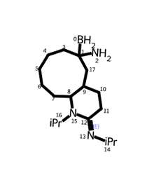 BC1(N)CCCCCC2C(CC/C(=N\C(C)C)N2C(C)C)C1